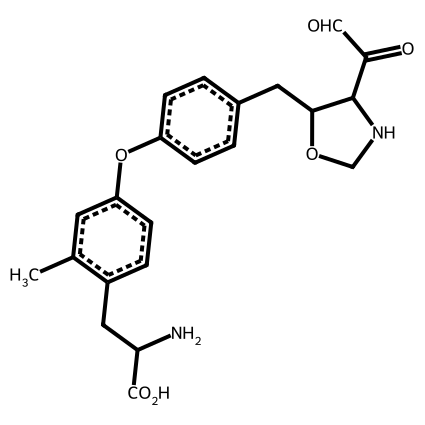 Cc1cc(Oc2ccc(CC3OCNC3C(=O)C=O)cc2)ccc1CC(N)C(=O)O